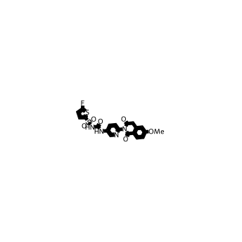 COc1ccc2c(c1)CC(=O)N(c1ccc(NC(=O)NS(=O)(=O)c3ccc(F)s3)cn1)C2=O